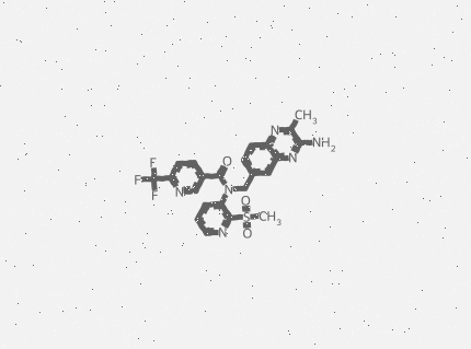 Cc1nc2ccc(CN(C(=O)c3ccc(C(F)(F)F)nc3)c3cccnc3S(C)(=O)=O)cc2nc1N